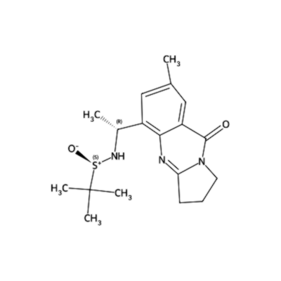 Cc1cc([C@@H](C)N[S@+]([O-])C(C)(C)C)c2nc3n(c(=O)c2c1)CCC3